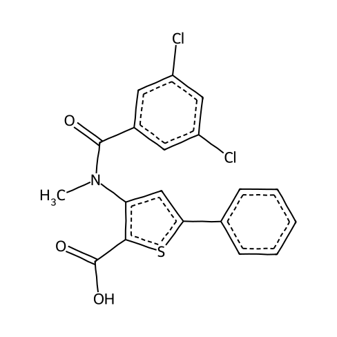 CN(C(=O)c1cc(Cl)cc(Cl)c1)c1cc(-c2ccccc2)sc1C(=O)O